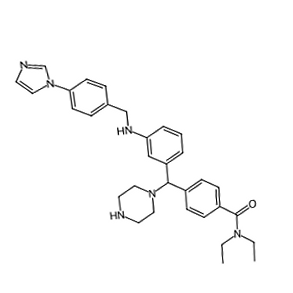 CCN(CC)C(=O)c1ccc(C(c2cccc(NCc3ccc(-n4ccnc4)cc3)c2)N2CCNCC2)cc1